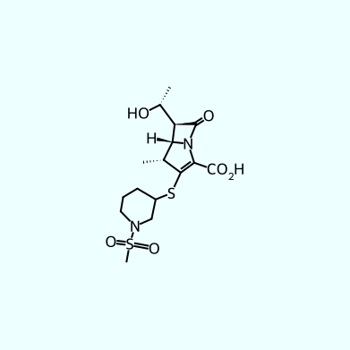 C[C@@H](O)[C@H]1C(=O)N2C(C(=O)O)=C(SC3CCCN(S(C)(=O)=O)C3)[C@H](C)[C@H]12